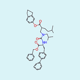 CC(C)CCC(CN(CC(C)C)C(=O)N[C@@H](Cc1ccc(-c2ccccc2)cc1)C(=O)OCc1ccccc1)C(=O)Oc1ccc2c(c1)CCC2